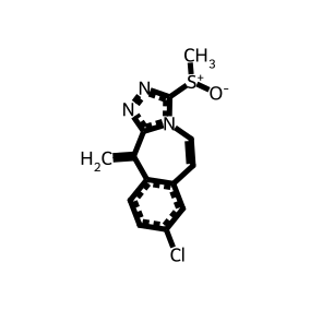 C=C1c2ccc(Cl)cc2C=Cn2c1nnc2[S+](C)[O-]